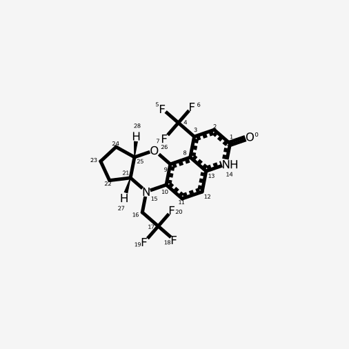 O=c1cc(C(F)(F)F)c2c3c(ccc2[nH]1)N(CC(F)(F)F)[C@@H]1CCC[C@@H]1O3